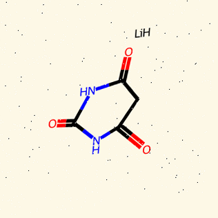 O=C1CC(=O)NC(=O)N1.[LiH]